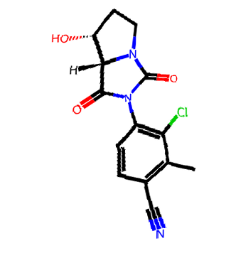 Cc1c(C#N)ccc(N2C(=O)[C@@H]3[C@H](O)CCN3C2=O)c1Cl